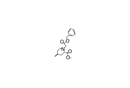 C=C1CCN(CC(=O)OCc2ccccc2)[C@@H](C(=O)OC)C1